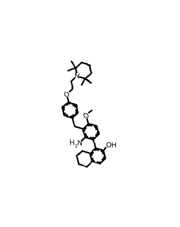 COc1ccc(-c2c(O)ccc3c2CCCC3)c(N)c1Cc1ccc(OCCN2C(C)(C)CCCC2(C)C)cc1